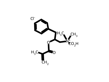 C=C(C)C(=O)OC(Cc1ccccc1)C[N+](C)(C)C(=O)O.[Cl-]